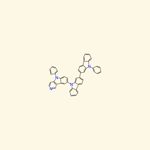 c1ccc(-n2c3ccncc3c3cc(-n4c5ccccc5c5ccc(-c6ccc7c8ccccc8n(-c8ccccc8)c7c6)cc54)ccc32)cc1